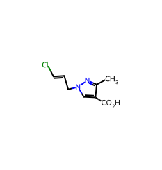 Cc1nn(CC=CCl)cc1C(=O)O